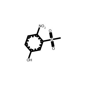 CS(=O)(=O)c1cc(O)ccc1[N+](=O)[O-]